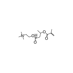 C=C(C)C(=O)OC(C)C[PH](=O)OCC[N+](C)(C)C